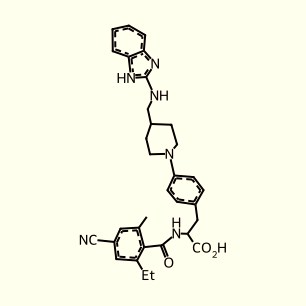 CCc1cc(C#N)cc(C)c1C(=O)NC(Cc1ccc(N2CCC(CNc3nc4ccccc4[nH]3)CC2)cc1)C(=O)O